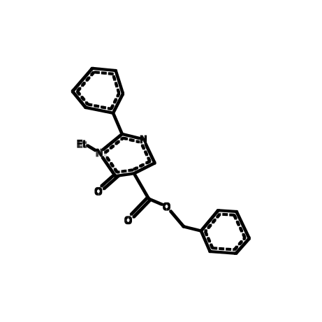 CCn1c(-c2ccccc2)ncc(C(=O)OCc2ccccc2)c1=O